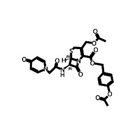 CC(=O)OCC1=C(C(=O)OCc2ccc(OC(C)=O)cc2)N2C(=O)[C@@H](NC(=O)Cn3ccc(=O)cc3)[C@H]2SC1